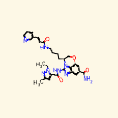 CCn1nc(C)cc1C(=O)Nc1nc2cc(C(N)=O)cc3c2n1[C@@H](CCCCNC(=O)/C=C/c1cccnc1)CO3